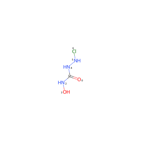 O=C(NO)NNCl